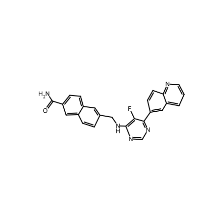 NC(=O)c1ccc2cc(CNc3ncnc(-c4ccc5ncccc5c4)c3F)ccc2c1